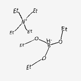 CCO[BH-](OCC)OCC.CC[N+](CC)(CC)CC